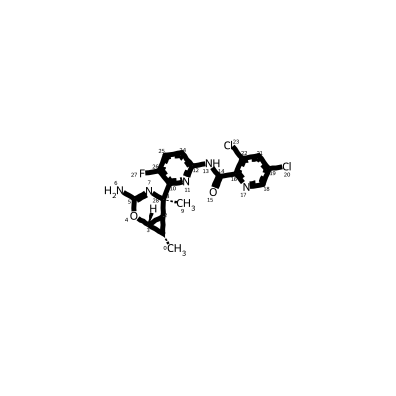 C[C@H]1C2[C@H]1OC(N)=N[C@@]2(C)c1nc(NC(=O)c2ncc(Cl)cc2Cl)ccc1F